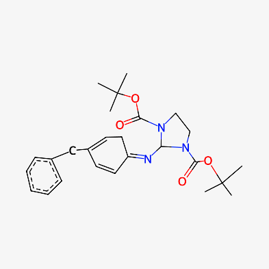 CC(C)(C)OC(=O)N1CCN(C(=O)OC(C)(C)C)C1N=C1C=CC(Cc2ccccc2)=CC1